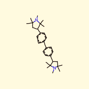 CN1C(C)(C)CC(c2ccc(-c3ccc(C4CC(C)(C)N(C)C4(C)C)cc3)cc2)C1(C)C